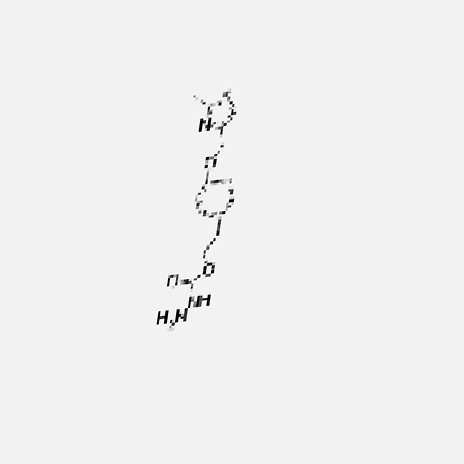 Cc1nc(COc2ccc(CCOC(=O)NN)cc2)cs1